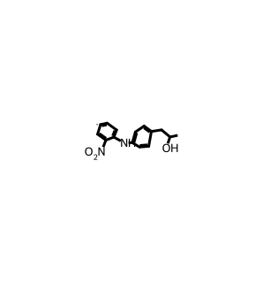 CC(O)Cc1ccc(Nc2cc[c]cc2[N+](=O)[O-])cc1